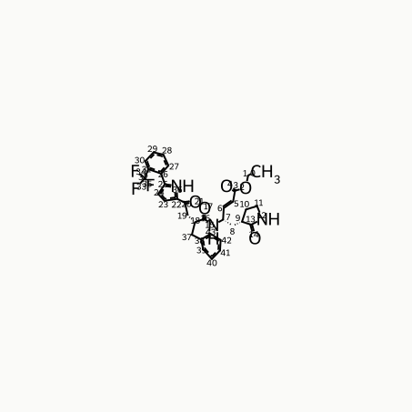 CCOC(=O)/C=C/[C@H](C[C@@H]1CCNC1=O)NC(=O)[C@@H](CC(=O)c1ccc(-c2ccccc2C(F)(F)F)[nH]1)Cc1ccccc1